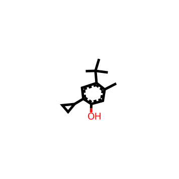 Cc1cc(O)c(C2CC2)cc1C(C)(C)C